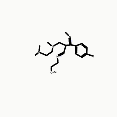 C/N=C(/c1ccc(F)cc1)C(/C=N/CCOC)CN(C)CCN(C)C